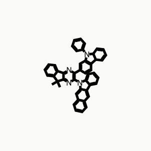 CC1(C)c2ccccc2-c2nc(-c3ccc4c(c3)N(c3ccccc3)C3C=CC=CC43)c(-n3c4ccccc4c4cc5ccccc5cc43)nc21